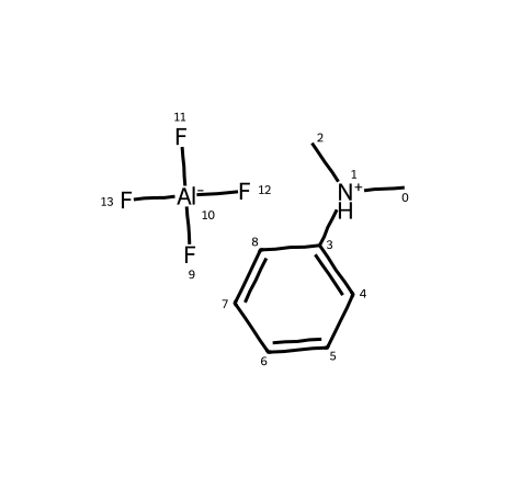 C[NH+](C)c1ccccc1.[F][Al-]([F])([F])[F]